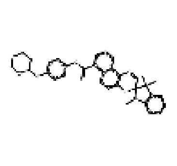 CN1c2ccccc2C(C)(C)C12C=Nc1c(ccc3c(C(=O)Oc4ccc(OC5CCCCO5)cc4)cccc13)O2